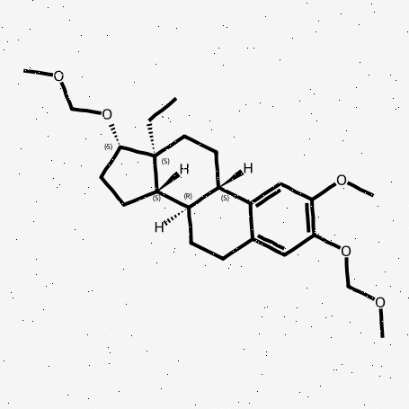 CC[C@]12CC[C@@H]3c4cc(OC)c(OCOC)cc4CC[C@H]3[C@@H]1CC[C@@H]2OCOC